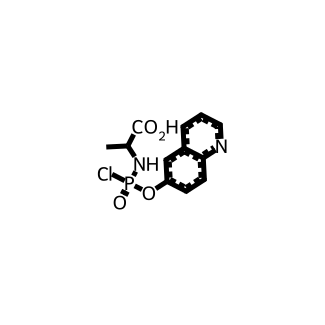 CC(NP(=O)(Cl)Oc1ccc2ncccc2c1)C(=O)O